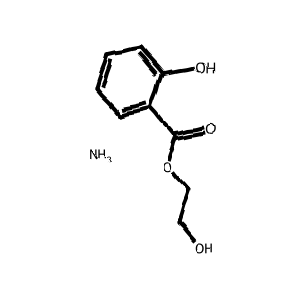 N.O=C(OCCO)c1ccccc1O